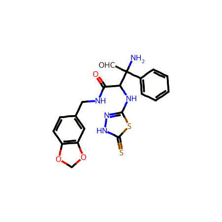 NC(C=O)(c1ccccc1)C(Nc1n[nH]c(=S)s1)C(=O)NCc1ccc2c(c1)OCO2